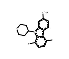 O=C(O)c1ccc2c3c(F)ccc(F)c3n(C3CCOCC3)c2c1